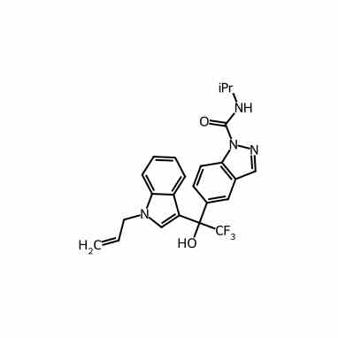 C=CCn1cc(C(O)(c2ccc3c(cnn3C(=O)NC(C)C)c2)C(F)(F)F)c2ccccc21